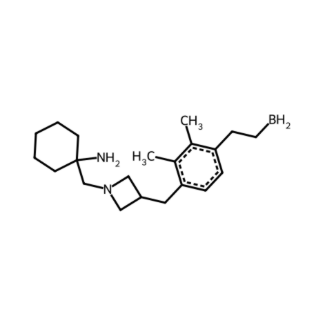 BCCc1ccc(CC2CN(CC3(N)CCCCC3)C2)c(C)c1C